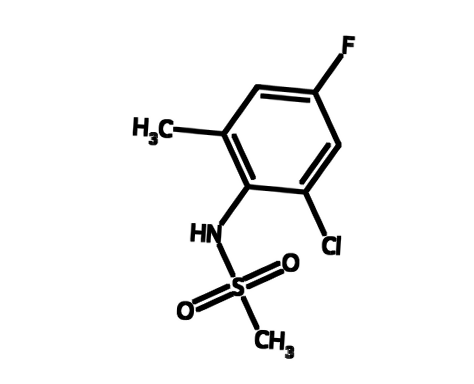 Cc1cc(F)cc(Cl)c1NS(C)(=O)=O